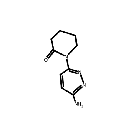 Nc1ccc(N2CCCCC2=O)nn1